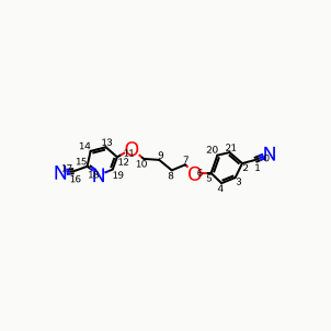 N#Cc1ccc(OCCCCOc2ccc(C#N)nc2)cc1